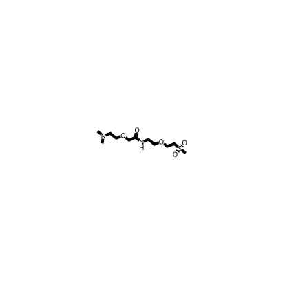 CN(C)CCOCC(=O)NCCOCCS(C)(=O)=O